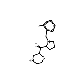 Cc1ccccc1CN1CCCC1C(=O)C1CNCC[N]1